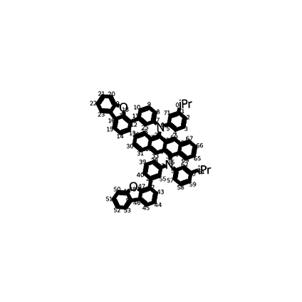 CC(C)c1cccc(N(c2cccc(-c3cccc4c3oc3ccccc34)c2)c2c3ccccc3cc3c(N(c4cccc(-c5cccc6c5oc5ccccc56)c4)c4cccc(C(C)C)c4)c4ccccc4cc23)c1